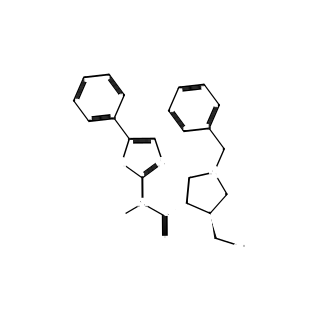 CN(C(=O)[C@@H]1CN(Cc2ccccc2)C[C@H]1CO)c1ncc(-c2ccccc2)s1